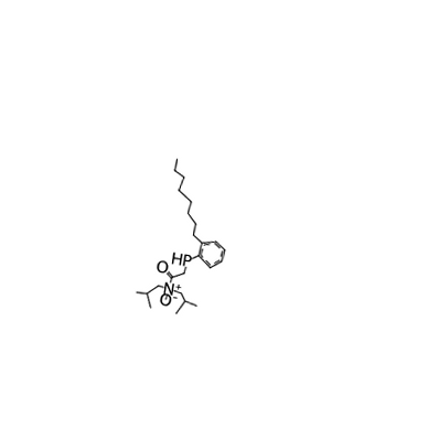 CCCCCCCCc1ccccc1PCC(=O)[N+]([O-])(CC(C)C)CC(C)C